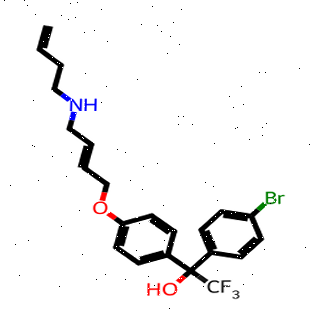 C=CCCNCC=CCOc1ccc(C(O)(c2ccc(Br)cc2)C(F)(F)F)cc1